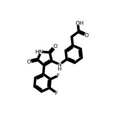 O=C(O)Cc1cccc(NC2=C(c3cccc(F)c3F)C(=O)NC2=O)c1